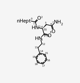 CCCCCCCC(=O)N[C@@H](CC(N)=O)C(=O)NCCc1ccccc1